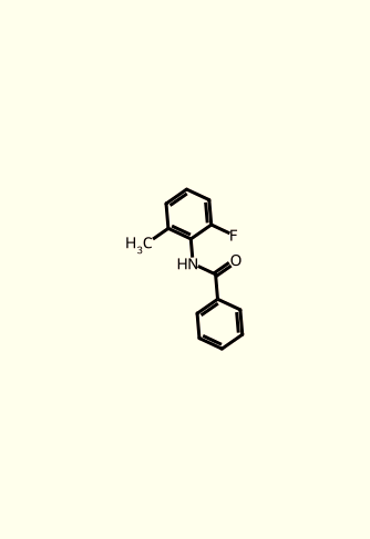 Cc1cccc(F)c1NC(=O)c1ccccc1